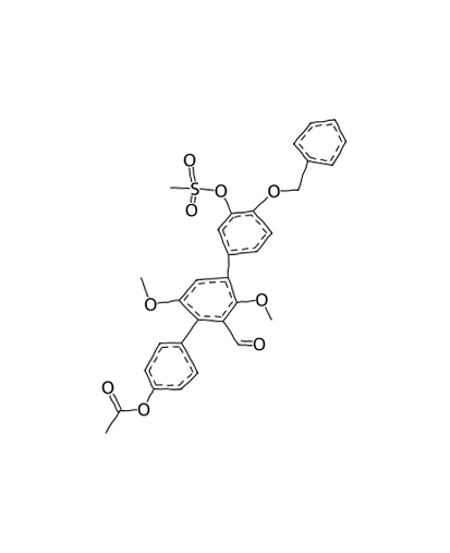 COc1cc(-c2ccc(OCc3ccccc3)c(OS(C)(=O)=O)c2)c(OC)c(C=O)c1-c1ccc(OC(C)=O)cc1